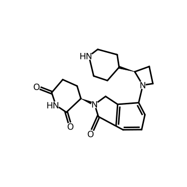 O=C1CC[C@@H](N2Cc3c(cccc3N3CC[C@@H]3C3CCNCC3)C2=O)C(=O)N1